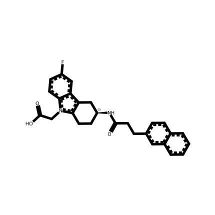 O=C(O)Cn1c2c(c3cc(F)ccc31)C[C@@H](NC(=O)CCc1ccc3ccccc3c1)CC2